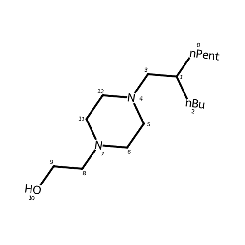 CCCCCC(CCCC)CN1CCN(CCO)CC1